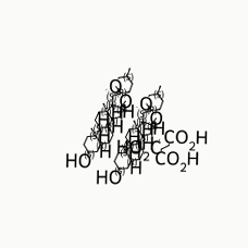 CC(=O)O.C[C@H]1CC[C@@]2(OC1)O[C@H]1C[C@H]3[C@@H]4CC[C@@H]5C[C@@H](O)CC[C@]5(C)[C@H]4CC[C@]3(C)[C@H]1[C@@H]2C.C[C@H]1CC[C@@]2(OC1)O[C@H]1C[C@H]3[C@@H]4CC[C@@H]5C[C@@H](O)CC[C@]5(C)[C@H]4CC[C@]3(C)[C@H]1[C@@H]2C.O=C(O)CCC(=O)O